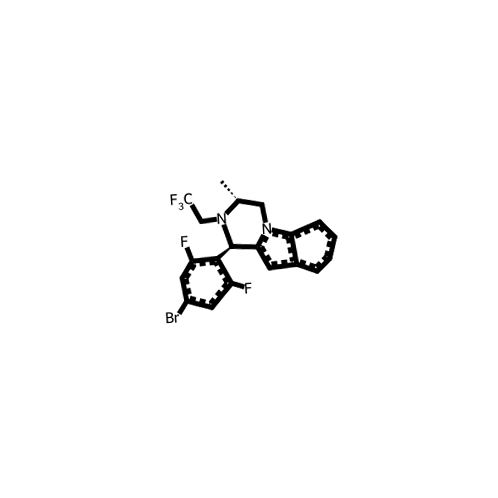 C[C@@H]1Cn2c(cc3ccccc32)[C@@H](c2c(F)cc(Br)cc2F)N1CC(F)(F)F